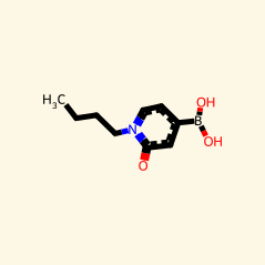 CCCCn1ccc(B(O)O)cc1=O